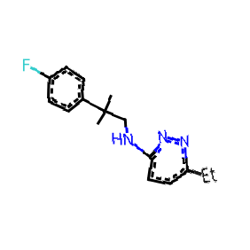 [CH2]Cc1ccc(NCC(C)(C)c2ccc(F)cc2)nn1